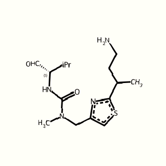 CC(CCN)c1nc(CN(C)C(=O)N[C@H](C=O)C(C)C)cs1